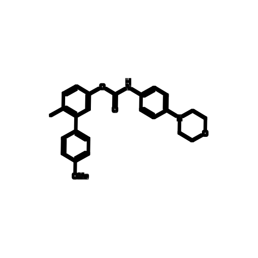 COc1ccc(-c2cc(OC(=O)Nc3ccc(N4CCOCC4)cc3)ccc2C)cc1